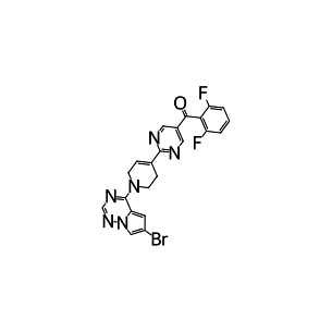 O=C(c1cnc(C2=CCN(c3ncnn4cc(Br)cc34)CC2)nc1)c1c(F)cccc1F